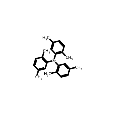 Cc1ccc(C)c([Si](c2cc(C)ccc2C)c2cc(C)ccc2C)c1